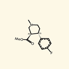 COC(=O)[C@H]1CN(C)CC[C@@H]1c1ccc(F)cc1